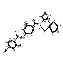 O=C(Nc1ccc(C(=O)N2CCc3ccccc3-c3sccc32)c(Cl)c1)c1ccc(F)cc1Cl